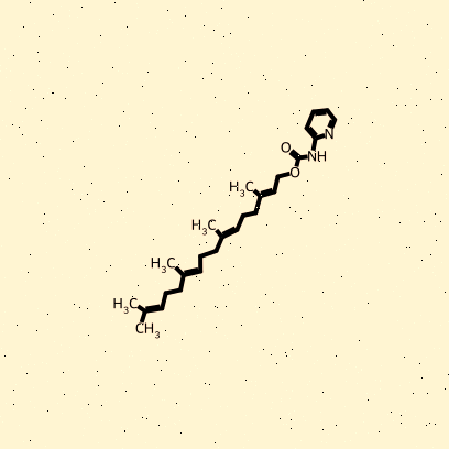 CC(C)=CCC/C(C)=C/CC/C(C)=C/CC/C(C)=C/COC(=O)Nc1ccccn1